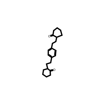 O=C1CCCCC1CCc1ccc(CCC2CCCCC2=O)cc1